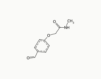 CNC(=O)COc1ccc(C=O)cc1